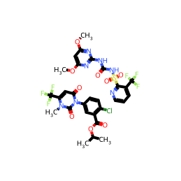 CC(C)OC(=O)c1cc(-n2c(=O)cc(C(F)(F)F)n(C)c2=O)ccc1Cl.COc1cc(OC)nc(NC(=O)NS(=O)(=O)c2ncccc2C(F)(F)F)n1